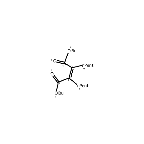 CCCCC/C(C(=O)OCC(C)C)=C(\CCCCC)C(=O)OCC(C)C